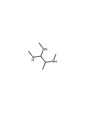 CNC(C)C(NC)NC